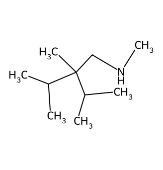 CNCC(C)(C(C)C)C(C)C